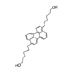 OCCCCCCc1ccc2c3cccc4c(CCCCCCO)ccc(c5cccc1c52)c43